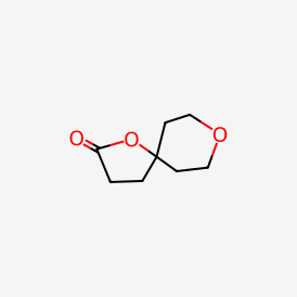 O=C1CCC2(CCOCC2)O1